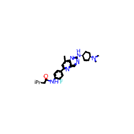 Cc1cc(-c2ccc(NC(=O)CC(C)C)c(F)c2)nc2cnc(N[C@H]3CC[C@H](N(C)C)CC3)nc12